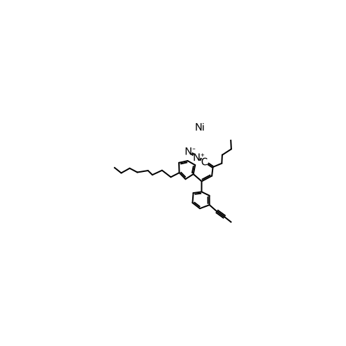 CC#Cc1cccc(C(=CC(=C=[N+]=[N-])CCCC)c2cccc(CCCCCCCC)c2)c1.[Ni]